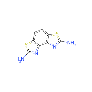 Nc1nc2c(ccc3sc(N)nc32)s1